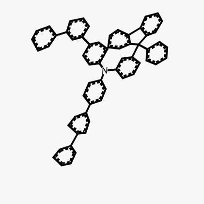 c1ccc(-c2ccc(-c3ccc(N(c4ccc(-c5cccc(-c6ccccc6)c5)cc4)c4cccc(C5(c6ccccc6)c6ccccc6-c6ccccc65)c4)cc3)cc2)cc1